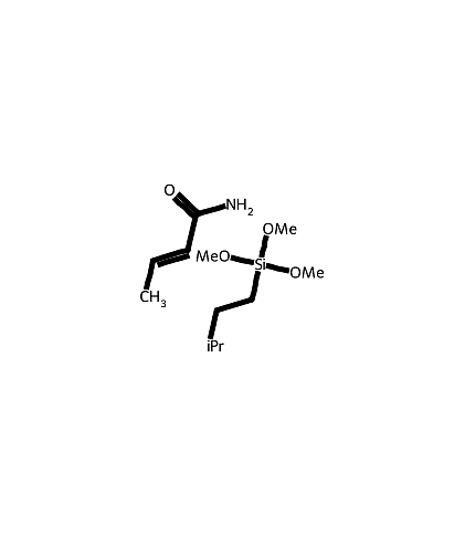 CC=CC(N)=O.CO[Si](CCC(C)C)(OC)OC